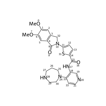 COc1cc2c(cc1OC)C(=O)N(c1ccc(C(=O)Nc3cnccc3N3CCCNCC3)s1)C2